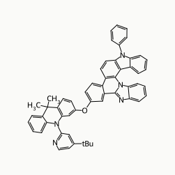 CC(C)(C)c1ccnc(N2c3ccccc3C(C)(C)c3ccc(Oc4ccc5c(c4)c4nc6ccccc6n4c4c5ccc5c4c4ccccc4n5-c4ccccc4)cc32)c1